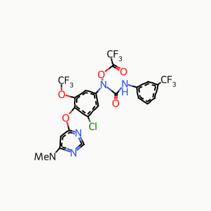 CNc1cc(Oc2c(Cl)cc(N(OC(=O)C(F)(F)F)C(=O)Nc3cccc(C(F)(F)F)c3)cc2OC(F)(F)F)ncn1